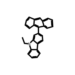 CCn1c2ccccc2c2ccc(-c3c4ccccc4cc4ccccc34)cc21